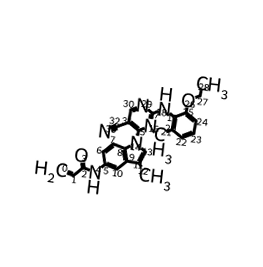 C=CC(=O)Nc1ccc2c(c1)c(C)cn2-c1nc(Nc2c(C)cccc2OCC)ncc1C#N